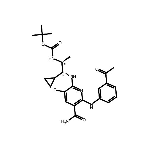 CC(=O)c1cccc(Nc2nc(N[C@H](C3CC3)[C@H](C)NC(=O)OC(C)(C)C)c(F)cc2C(N)=O)c1